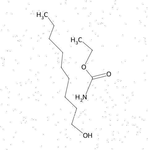 CCCCCCCCCO.CCOC(N)=O